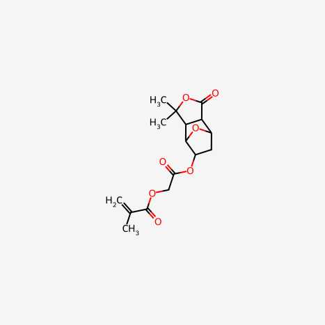 C=C(C)C(=O)OCC(=O)OC1CC2OC1C1C2C(=O)OC1(C)C